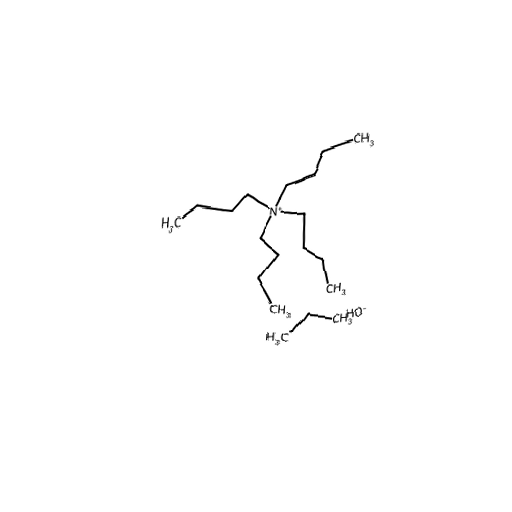 CCC.CCCC[N+](CCCC)(CCCC)CCCC.[OH-]